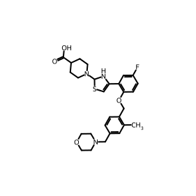 Cc1cc(CN2CCOCC2)ccc1COc1ccc(F)cc1C1=CSC(N2CCC(C(=O)O)CC2)N1